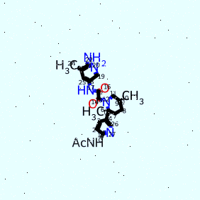 CC(=O)Nc1ccc([C@]2(C)CC[C@H](C)CN2C(=O)C(=O)Nc2cnc(N)c(C)c2)cn1